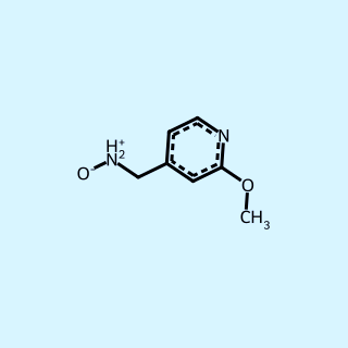 COc1cc(C[NH2+][O-])ccn1